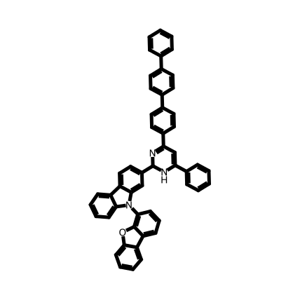 C1=C(c2ccccc2)NC(c2ccc3c4ccccc4n(-c4cccc5c4oc4ccccc45)c3c2)N=C1c1ccc(-c2ccc(-c3ccccc3)cc2)cc1